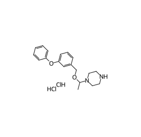 CC(OCc1cccc(Oc2ccccc2)c1)N1CCNCC1.Cl.Cl